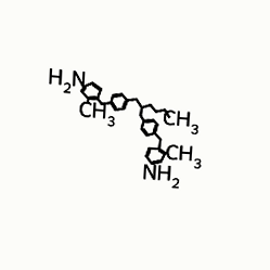 CCCCC(Cc1ccc(Cc2ccc(N)cc2C)cc1)Cc1ccc(Cc2ccc(N)cc2C)cc1